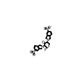 O=C(C(CF)N1Cc2ccc([N+](=O)[O-])cc2C1)C(CF)N1Cc2ccc([N+](=O)[O-])cc2C1